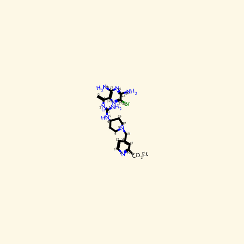 C=C(/N=C(\N)NC1CCN(Cc2ccnc(C(=O)OCC)c2)CC1)c1nc(Br)c(N)nc1N